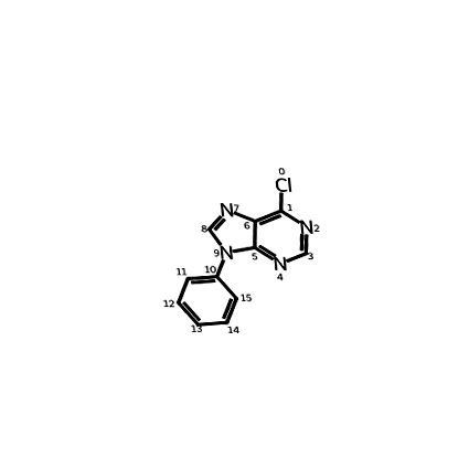 Clc1ncnc2c1ncn2-c1ccccc1